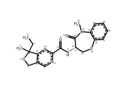 CCC1(C)OCc2cnc(C(=O)N[C@H]3COc4ccccc4N(C)C3=O)nc21